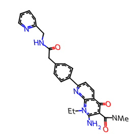 CCn1c(N)c(C(=O)NC)c(=O)c2ccc(-c3ccc(CC(=O)NCc4ccccn4)cc3)nc21